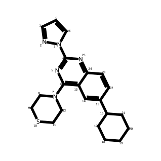 c1cnn(-c2nc(N3CCSCC3)c3cc(C4CCCCC4)ccc3n2)c1